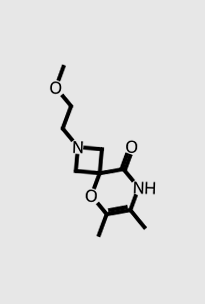 COCCN1CC2(C1)OC(C)=C(C)NC2=O